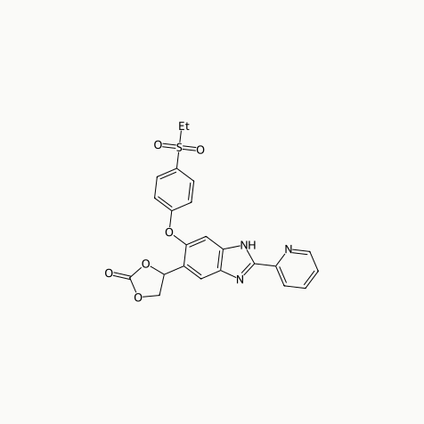 CCS(=O)(=O)c1ccc(Oc2cc3[nH]c(-c4ccccn4)nc3cc2C2COC(=O)O2)cc1